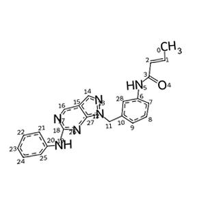 C/C=C/C(=O)Nc1cccc(Cn2ncc3cnc(Nc4ccccc4)nc32)c1